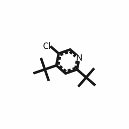 CC(C)(C)c1cc(C(C)(C)C)c(Cl)cn1